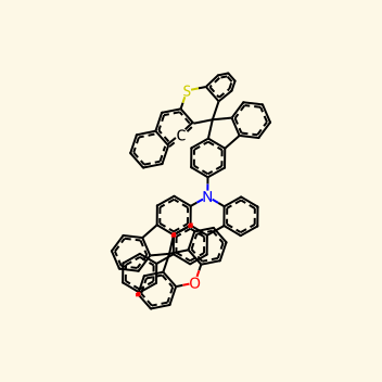 c1ccc(-c2ccc(-c3ccccc3N(c3ccc4c(c3)-c3ccccc3C43c4ccccc4Sc4cc5ccccc5cc43)c3ccc4c(c3)C3(c5ccccc5Oc5ccccc53)c3ccccc3-4)cc2)cc1